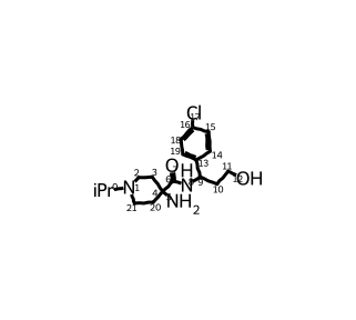 CC(C)N1CCC(N)(C(=O)NC(CCO)c2ccc(Cl)cc2)CC1